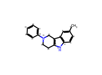 Cc1ccc2[nH]c3c(c2c1)CN(c1ccccc1)CC3